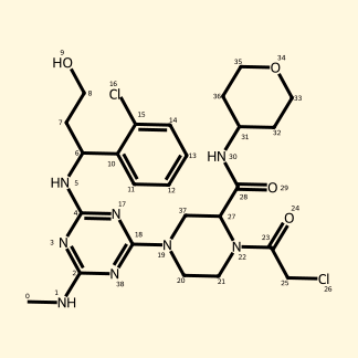 CNc1nc(NC(CCO)c2ccccc2Cl)nc(N2CCN(C(=O)CCl)C(C(=O)NC3CCOCC3)C2)n1